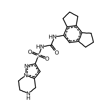 O=C(Nc1cc2c(c3c1CCC3)CCC2)NS(=O)(=O)c1cc2n(n1)CCNC2